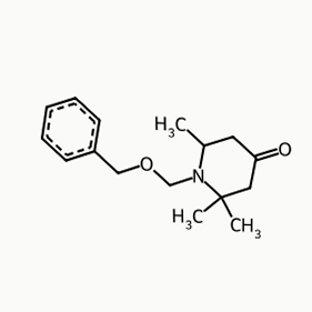 CC1CC(=O)CC(C)(C)N1COCc1ccccc1